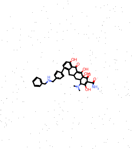 CN(C)C1C(O)=C(C(N)=O)C(=O)C2(O)C(O)=C3C(=O)c4c(O)ccc(-c5ccc(CNCc6ccccc6)cc5)c4CC3CC12